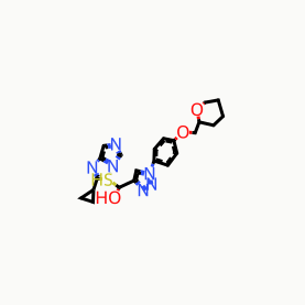 OC(c1cn(-c2ccc(OCC3CCCCO3)cc2)nn1)[SH]1C(C2CC2)=Nc2cncn21